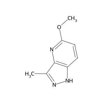 COc1ccc2[nH]nc(C)c2n1